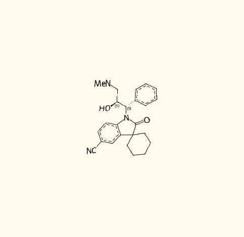 CNC[C@H](O)[C@H](c1ccccc1)N1C(=O)C2(CCCCC2)c2cc(C#N)ccc21